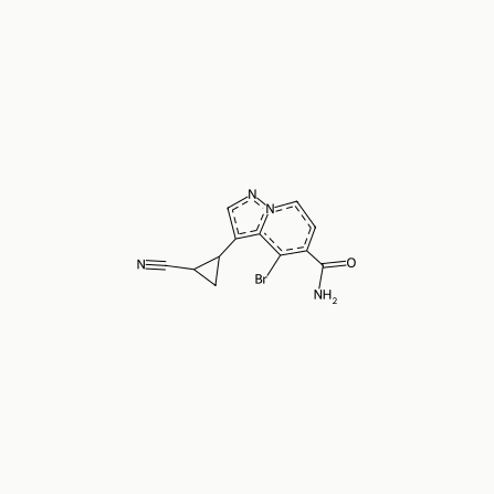 N#CC1CC1c1cnn2ccc(C(N)=O)c(Br)c12